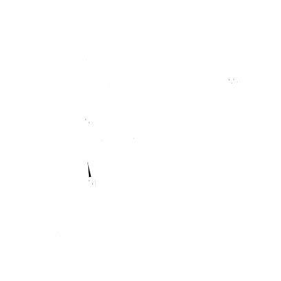 COc1ccc(COC(=O)C2=C(CCl)CSC3[C@H](NC(=O)OC(C)(C)C)C(=O)N23)cc1